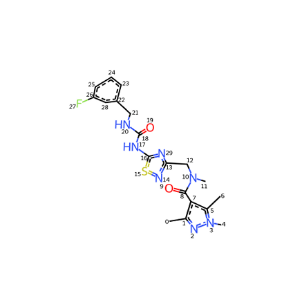 Cc1nn(C)c(C)c1C(=O)N(C)Cc1nsc(NC(=O)NCc2cccc(F)c2)n1